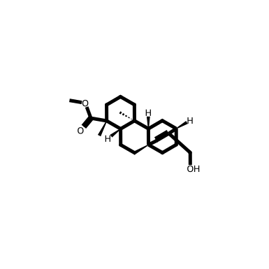 COC(=O)[C@]1(C)CCC[C@@]2(C)[C@@H]3C[C@@H]4CC[C@]3(C=C4CO)CC[C@@H]21